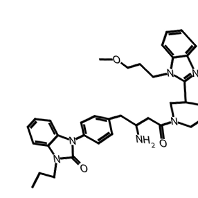 CCCn1c(=O)n(-c2ccc(CC(N)CC(=O)N3CCCC(c4nc5ccccc5n4CCCOC)C3)cc2)c2ccccc21